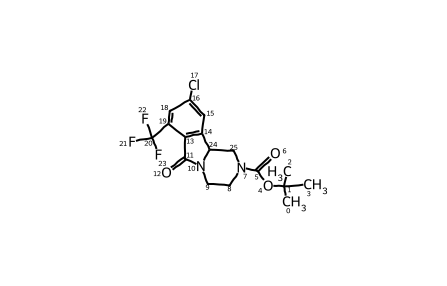 CC(C)(C)OC(=O)N1CCN2C(=O)c3c(cc(Cl)cc3C(F)(F)F)C2C1